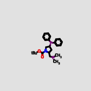 CP(C)CC1CC(P(c2ccccc2)c2ccccc2)CN1C(=O)OC(C)(C)C